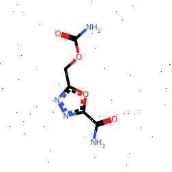 NC(=O)OCc1nnc(C(N)=O)o1